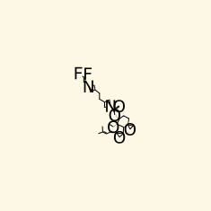 CO[C@@H]1[C@H](OC(=O)N2CC(CCC3CN(CC(F)F)C3)C2)CC[C@]2(CO2)[C@H]1[C@@]1(C)O[C@@H]1CC=C(C)C